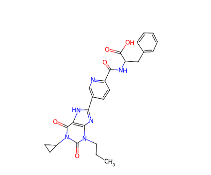 CCCn1c(=O)n(C2CC2)c(=O)c2[nH]c(-c3ccc(C(=O)NC(Cc4ccccc4)C(=O)O)nc3)nc21